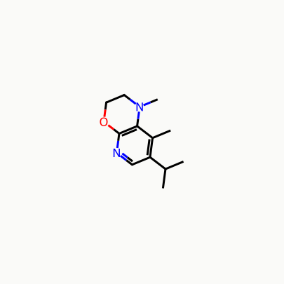 Cc1c(C(C)C)cnc2c1N(C)CCO2